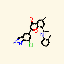 Cc1cc(C(C)Nc2ccccc2C)c2oc(-c3cc(Cl)c4nn(C)cc4c3)cc(=O)c2c1